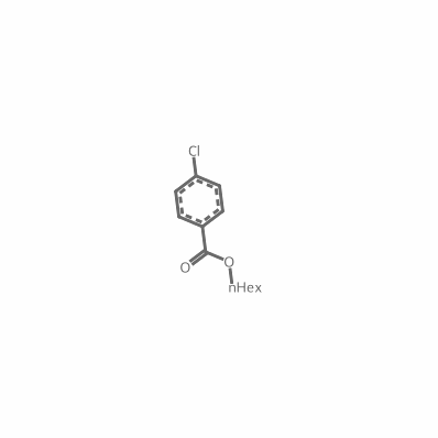 CCCCCCOC(=O)c1ccc(Cl)cc1